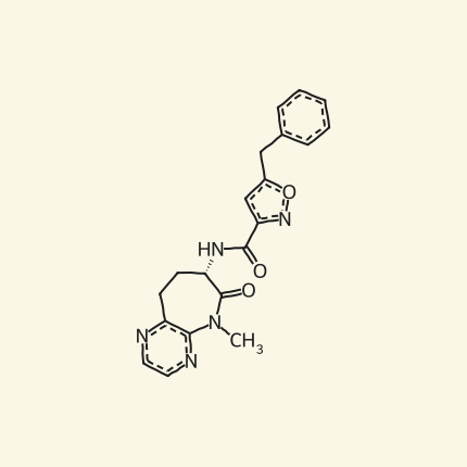 CN1C(=O)[C@@H](NC(=O)c2cc(Cc3ccccc3)on2)CCc2nccnc21